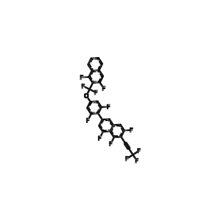 Fc1cc2cc(-c3c(F)cc(OC(F)(F)c4c(F)cc5ccccc5c4F)cc3F)cc(F)c2c(F)c1C#CC(F)(F)F